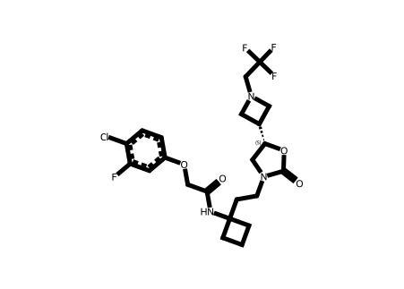 O=C(COc1ccc(Cl)c(F)c1)NC1(CCN2C[C@H](C3CN(CC(F)(F)F)C3)OC2=O)CCC1